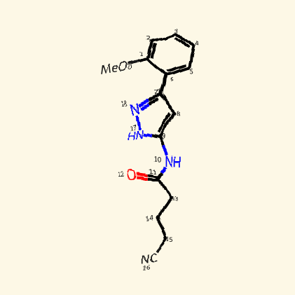 COc1ccccc1-c1cc(NC(=O)CCCC#N)[nH]n1